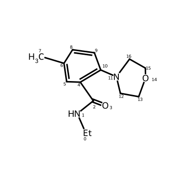 CCNC(=O)c1cc(C)ccc1N1CCOCC1